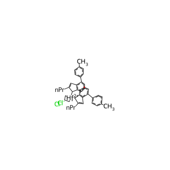 CCCC1=Cc2c(-c3ccc(C)cc3)cccc2[CH]1[Hf+2]1([CH]2C(CCC)=Cc3c(-c4ccc(C)cc4)cccc32)[CH2]C[CH2]1.[Cl-].[Cl-]